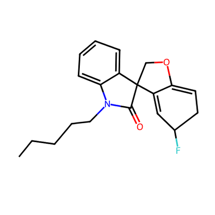 CCCCCN1C(=O)C2(COC3=CCC(F)C=C32)c2ccccc21